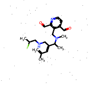 C=C(C)/C=C(\CNCC(C)F)C(C)N(C)Cc1c(C=O)ccnc1C=O